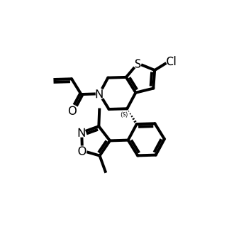 C=CC(=O)N1Cc2sc(Cl)cc2[C@H](c2ccccc2-c2c(C)noc2C)C1